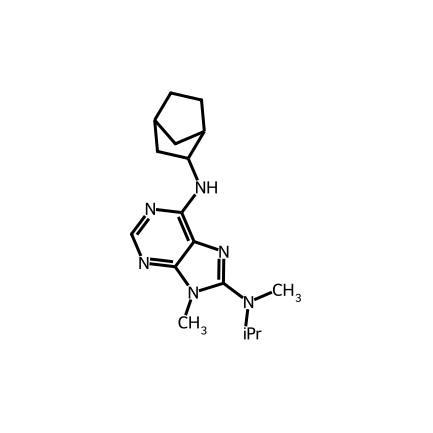 CC(C)N(C)c1nc2c(NC3CC4CCC3C4)ncnc2n1C